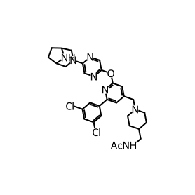 CC(=O)NCC1CCN(Cc2cc(Oc3cnc(N4CC5CCC(C4)N5)cn3)nc(-c3cc(Cl)cc(Cl)c3)c2)CC1